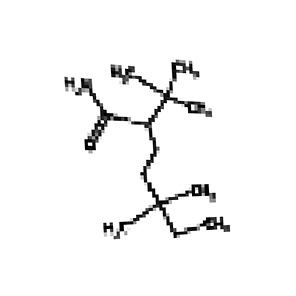 CCC(C)(C)CCC(C(N)=O)C(C)(C)C